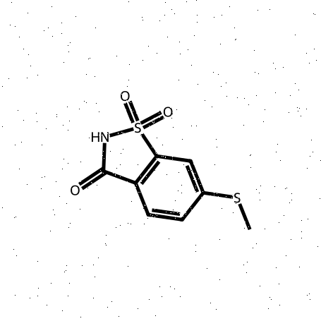 CSc1ccc2c(c1)S(=O)(=O)NC2=O